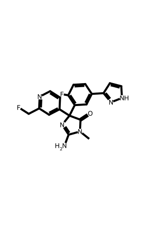 CN1C(=O)C(c2ccnc(CF)c2)(c2cc(-c3cc[nH]n3)ccc2F)N=C1N